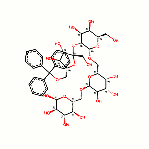 OC[C@H]1O[C@H](OC[C@H]2O[C@H](OC[C@H]3O[C@H](O)[C@H](O)[C@@H](O)[C@@H]3O)[C@H](O)[C@@H](O)[C@H]2O)[C@H](O[C@]2(CO)O[C@H](COC(c3ccccc3)(c3ccccc3)c3ccccc3)[C@@H](O)[C@@H]2O)[C@@H](O)[C@H]1O